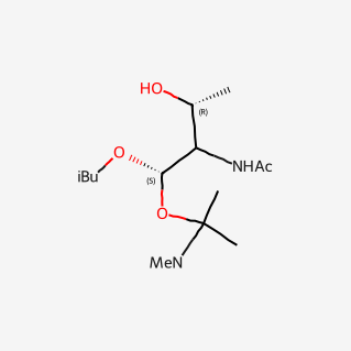 CCC(C)O[C@@H](OC(C)(C)NC)C(NC(C)=O)[C@@H](C)O